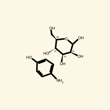 Nc1ccc(O)cc1.OC[C@H]1OC(O)[C@@H](O)[C@@H](O)[C@@H]1O